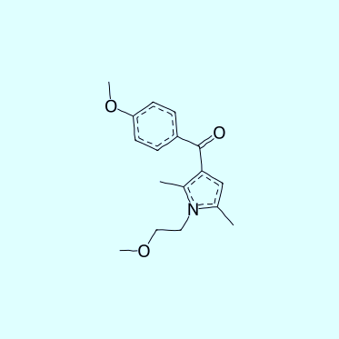 COCCn1c(C)cc(C(=O)c2ccc(OC)cc2)c1C